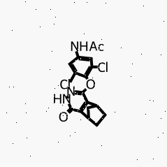 CC(=O)Nc1cc(Cl)c(Oc2n[nH]c(=O)c3c2C2CCC3C2)c(Cl)c1